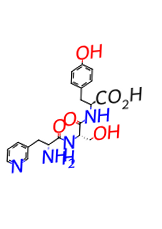 N[C@H](Cc1cccnc1)C(=O)N[C@@H](CO)C(=O)N[C@@H](Cc1ccc(O)cc1)C(=O)O